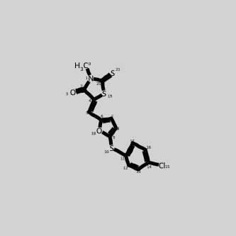 CN1C(=O)C(=Cc2ccc(Sc3ccc(Cl)cc3)o2)SC1=S